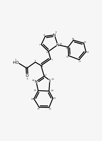 O=C(O)C/C(=C\c1ccnn1-c1ccccc1)c1nc2ccccc2s1